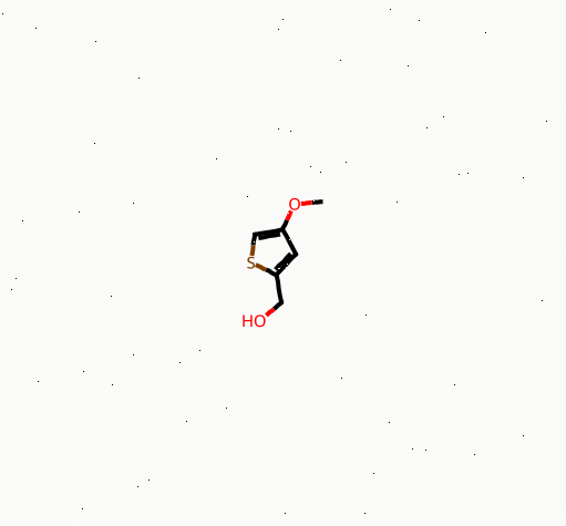 COc1csc(CO)c1